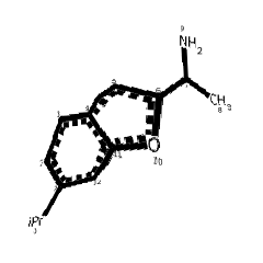 CC(C)c1ccc2cc(C(C)N)oc2c1